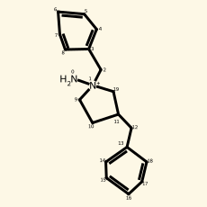 N[N+]1(Cc2ccccc2)CCC(Cc2ccccc2)C1